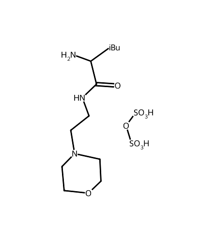 CCC(C)C(N)C(=O)NCCN1CCOCC1.O=S(=O)(O)OS(=O)(=O)O